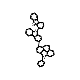 c1ccc(-n2c3cccc4ccc5c(-c6ccc7c(c6)c6ccccc6n7-c6cccc7c6sc6ccccc67)ccc2c5c43)cc1